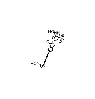 CC(CCN1Cc2cc(C#CC#C[C@@]3(F)C[C@@H]3CO)cn2C1=O)(C(=O)NO)S(C)(=O)=O